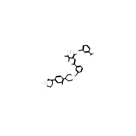 Cc1cc([C@@]2(C)CCC(=O)NC2=O)ccc1C1CCN(Cc2cccc(-c3cc4c(N[C@H](C)c5cccc(C(F)F)c5F)nnc(C)c4cn3)c2)CC1